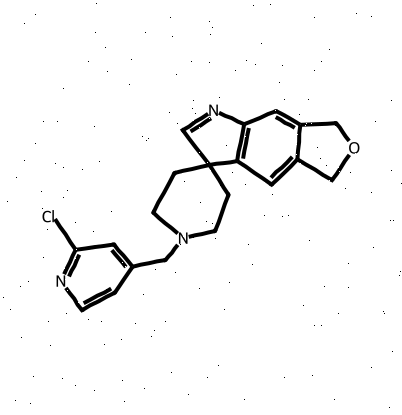 Clc1cc(CN2CCC3(C=Nc4cc5c(cc43)COC5)CC2)ccn1